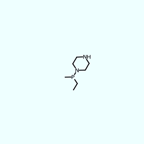 CCP(C)N1CCNCC1